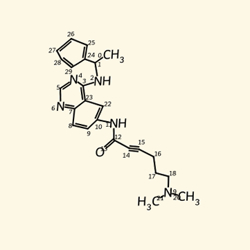 CC(Nc1ncnc2ccc(NC(=O)C#CCCCN(C)C)cc12)c1ccccc1